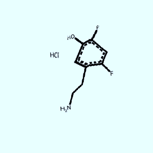 Cl.NCCc1cc(O)c(F)cc1F